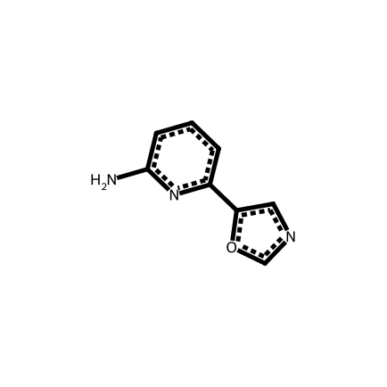 Nc1cccc(-c2cnco2)n1